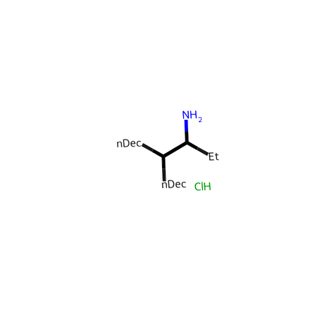 CCCCCCCCCCC(CCCCCCCCCC)C(N)CC.Cl